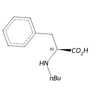 CCCCN[C@@H](Cc1ccccc1)C(=O)O